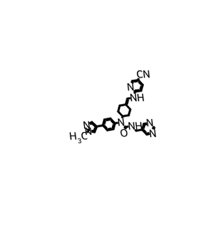 Cn1cc(-c2ccc(N(C(=O)NCc3cncnc3)C3CCC(=CNc4ccc(C#N)cn4)CC3)cc2)cn1